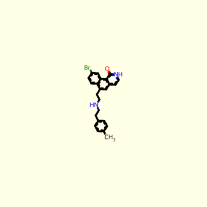 Cc1ccc(CCNCCc2cc3cc[nH]c(=O)c3c3cc(Br)ccc23)cc1